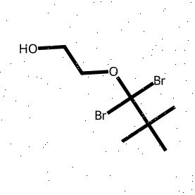 CC(C)(C)C(Br)(Br)OCCO